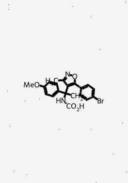 [CH2]C(NC(=O)O)(c1ccc(OC)cc1)c1c(C)noc1-c1ccc(Br)cc1